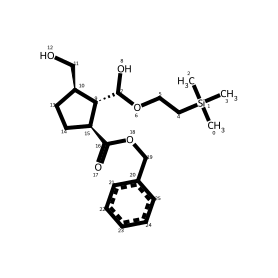 C[Si](C)(C)CCOC(O)[C@H]1[C@H](CO)CC[C@@H]1C(=O)OCc1ccccc1